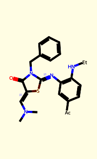 CCNc1ccc(C(C)=O)cc1/N=C1\S/C(=C\N(C)C)C(=O)N1Cc1ccccc1